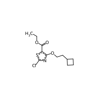 CCOC(=O)c1sc(Cl)nc1OCCC1CCC1